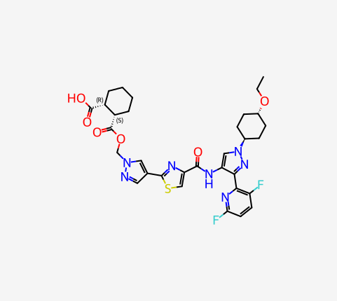 CCO[C@H]1CC[C@H](n2cc(NC(=O)c3csc(-c4cnn(COC(=O)[C@H]5CCCC[C@H]5C(=O)O)c4)n3)c(-c3nc(F)ccc3F)n2)CC1